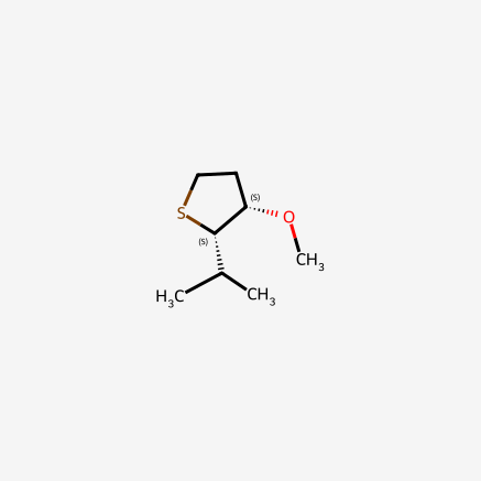 CO[C@H]1CCS[C@H]1C(C)C